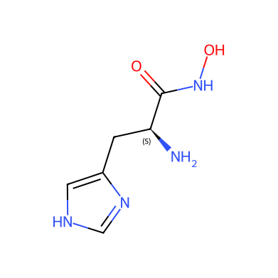 N[C@@H](Cc1c[nH]cn1)C(=O)NO